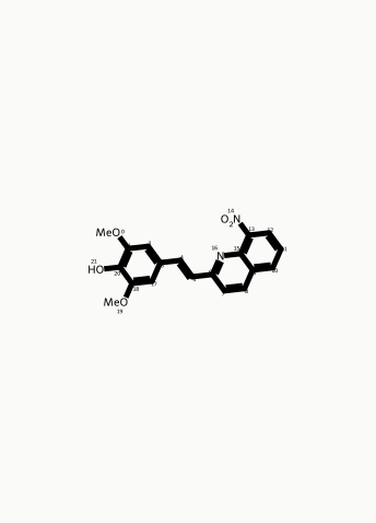 COc1cc(C=Cc2ccc3cccc([N+](=O)[O-])c3n2)cc(OC)c1O